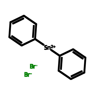 [Br-].[Br-].c1cc[c]([Sn+2][c]2ccccc2)cc1